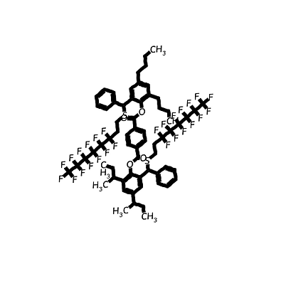 CCCCc1cc(CCCC)c(OC(=O)c2ccc(C(=O)Oc3c(C(C)CC)cc(C(C)CC)cc3C(SCCC(F)(F)C(F)(F)C(F)(F)C(F)(F)C(F)(F)C(F)(F)F)c3ccccc3)cc2)c(C(SCCC(F)(F)C(F)(F)C(F)(F)C(F)(F)C(F)(F)C(F)(F)F)c2ccccc2)c1